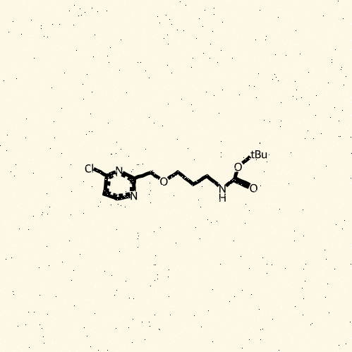 CC(C)(C)OC(=O)NCCCOCc1nccc(Cl)n1